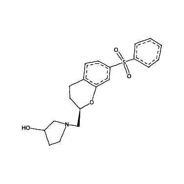 O=S(=O)(c1ccccc1)c1ccc2c(c1)O[C@@H](CN1CCC(O)C1)CC2